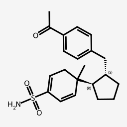 CC(=O)c1ccc(C[C@@H]2CCC[C@H]2C2(C)C=CC(S(N)(=O)=O)=CC2)cc1